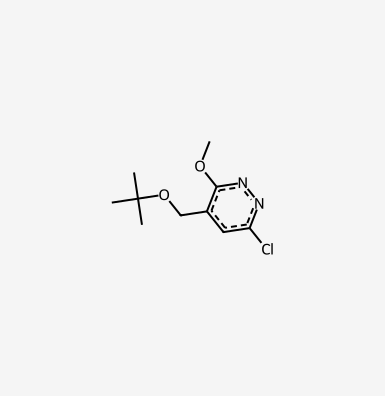 COc1nnc(Cl)cc1COC(C)(C)C